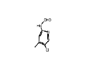 Cc1cc(NC=O)ncc1Cl